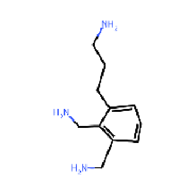 NCCCc1cccc(CN)c1CN